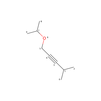 CC(C)C#CCOC(C)C